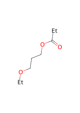 CCOCCCOC(=O)CC